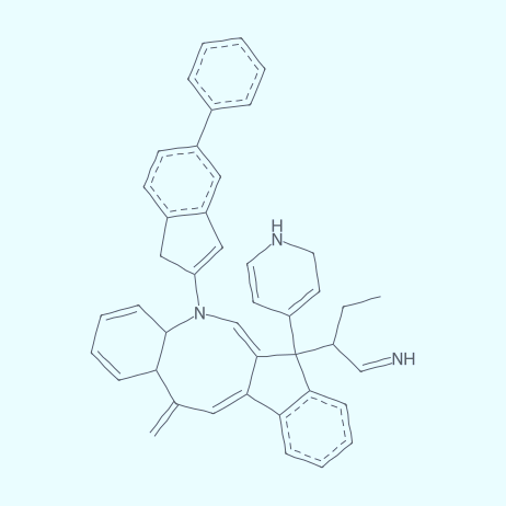 C=C1/C=C2\C(=C/N(C3=Cc4cc(-c5ccccc5)ccc4C3)C3C=CC=CC13)C(C1=CCNC=C1)(C(C=N)CC)c1ccccc12